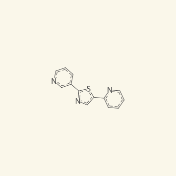 c1ccc(-c2cnc(-c3cccnc3)s2)nc1